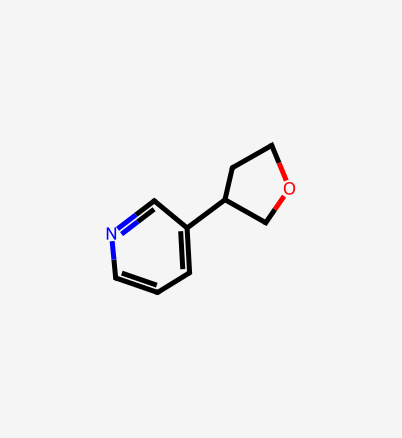 c1cncc(C2CCOC2)c1